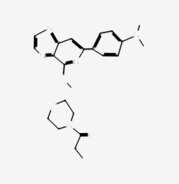 CCC(=O)N1CCO[C@H](COc2nc(-c3ccc(N(C)C)cc3)cc3nccnc23)C1